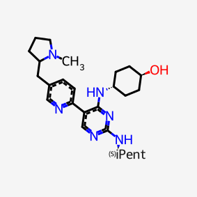 CCC[C@H](C)Nc1ncc(-c2ccc(CC3CCCN3C)cn2)c(N[C@H]2CC[C@H](O)CC2)n1